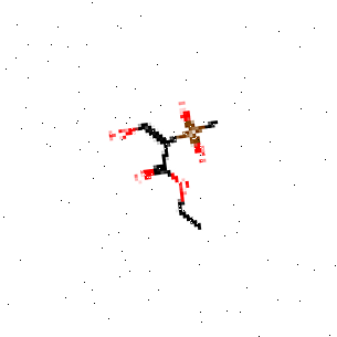 CCOC(=O)/C(=C\O)S(C)(=O)=O